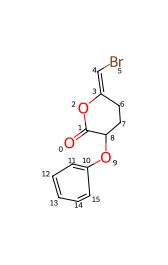 O=C1O/C(=C/Br)CCC1Oc1ccccc1